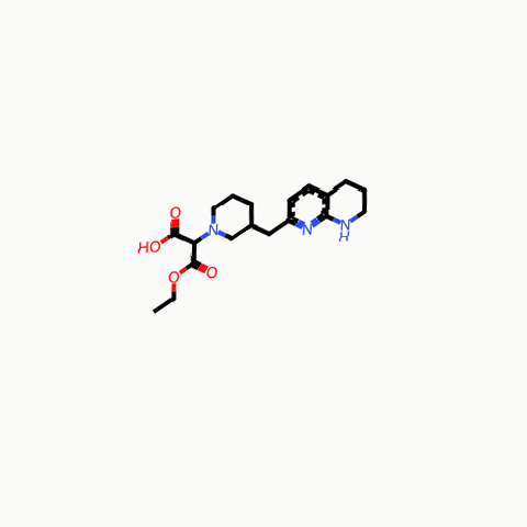 CCOC(=O)C(C(=O)O)N1CCCC(Cc2ccc3c(n2)NCCC3)C1